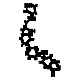 c1cc(NCc2cc3ccc(-c4nccc(Nc5ccc6[nH]ncc6c5)n4)cc3[nH]2)cnn1